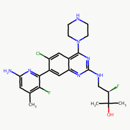 Cc1cc(N)nc(-c2cc3nc(NC[C@@H](F)C(C)(C)O)nc(N4CCNCC4)c3cc2Cl)c1F